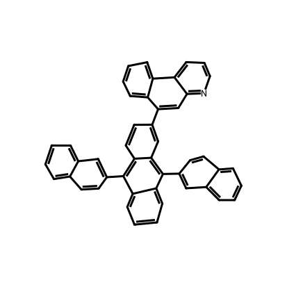 c1ccc2cc(-c3c4ccccc4c(-c4ccc5ccccc5c4)c4cc(-c5cc6ncccc6c6ccccc56)ccc34)ccc2c1